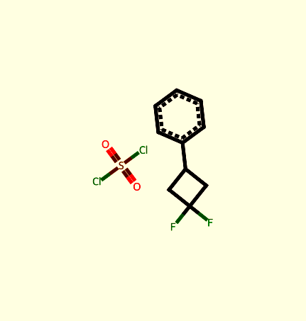 FC1(F)CC(c2ccccc2)C1.O=S(=O)(Cl)Cl